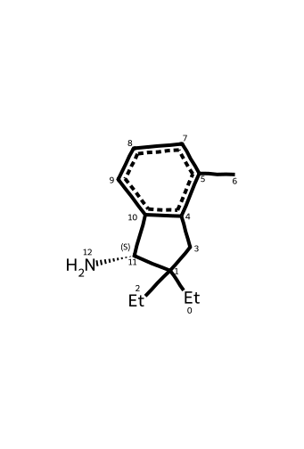 CCC1(CC)Cc2c(C)cccc2[C@H]1N